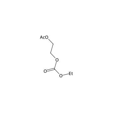 CCOC(=O)OCCOC(C)=O